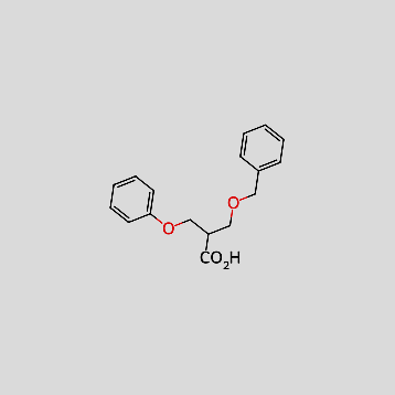 O=C(O)C(COCc1ccccc1)COc1ccccc1